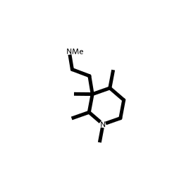 CNCCC1(C)C(C)CCN(C)C1C